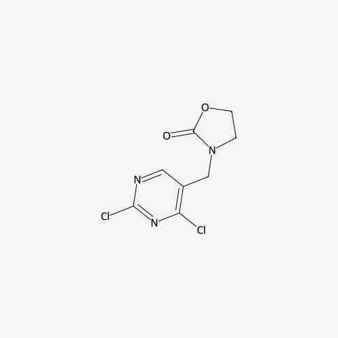 O=C1OCCN1Cc1cnc(Cl)nc1Cl